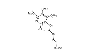 COCCOCOc1c(C)cc(OC)c(OC)c1OC